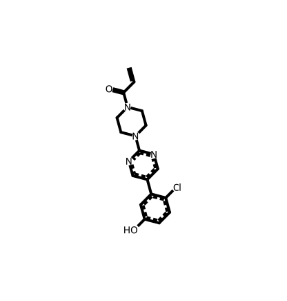 C=CC(=O)N1CCN(c2ncc(-c3cc(O)ccc3Cl)cn2)CC1